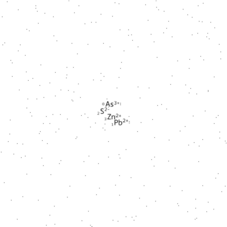 [As+3].[Pb+2].[S-2].[Zn+2]